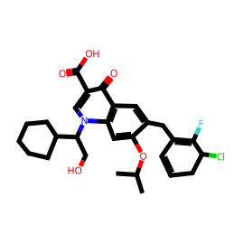 CC(C)Oc1cc2c(cc1CC1=C(F)C(Cl)CC=C1)c(=O)c(C(=O)O)cn2C(CO)C1CCCCC1